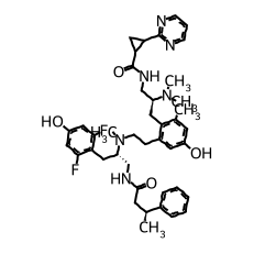 Cc1cc(O)cc(CCN(C)[C@H](CNC(=O)C[C@H](C)c2ccccc2)Cc2c(F)cc(O)cc2F)c1C[C@@H](CNC(=O)C1CC1c1ncccn1)N(C)C